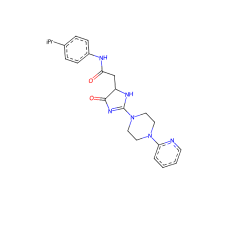 CC(C)c1ccc(NC(=O)CC2NC(N3CCN(c4ccccn4)CC3)=NC2=O)cc1